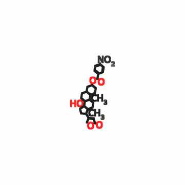 CC12CCC(OC(=O)c3ccc([N+](=O)[O-])cc3)CC1CCC1C2CCC2(C)C(C3=CC(=O)OC3)CCC12O